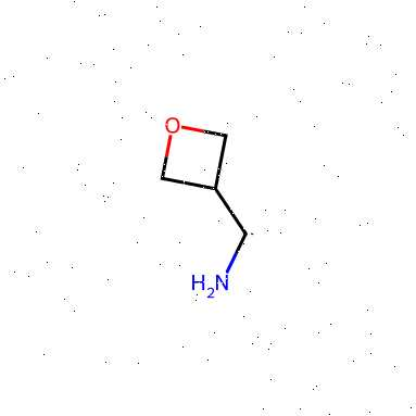 N[CH]C1COC1